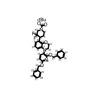 CC(C)(C)OC(=O)N1CCC(c2cccc3c2OCCN3c2ccc(OCc3ccccc3)nc2OCc2ccccc2)C(F)(F)C1